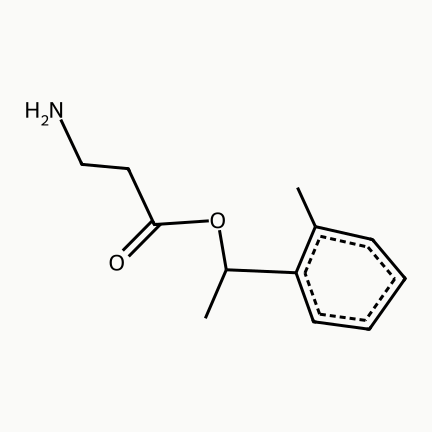 Cc1ccccc1C(C)OC(=O)CCN